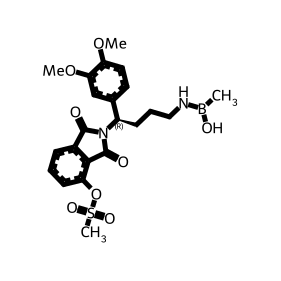 COc1ccc([C@@H](CCCNB(C)O)N2C(=O)c3cccc(OS(C)(=O)=O)c3C2=O)cc1OC